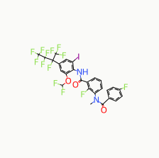 CN(C(=O)c1ccc(F)cc1)c1cccc(C(=O)Nc2c(I)cc(C(F)(C(F)(F)F)C(F)(F)C(F)(F)F)cc2OC(F)F)c1F